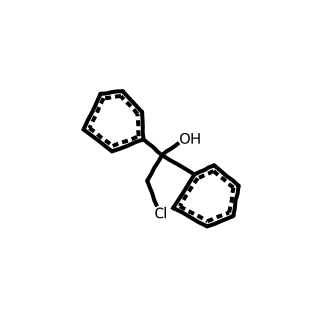 OC(CCl)(c1ccccc1)c1ccccc1